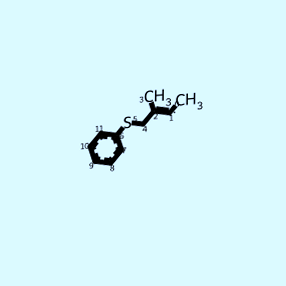 C/[C]=C(\C)CSc1ccccc1